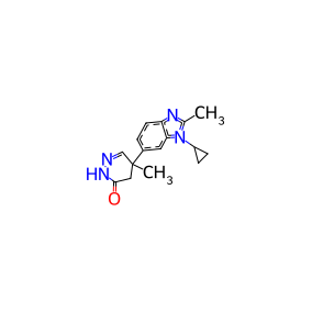 Cc1nc2ccc(C3(C)C=NNC(=O)C3)cc2n1C1CC1